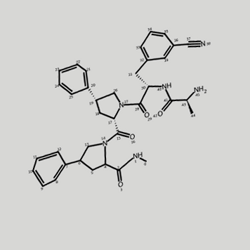 CNC(=O)C1CC(c2ccccc2)CN1C(=O)[C@@H]1C[C@H](c2ccccc2)CN1C(=O)[C@H](Cc1cccc(C#N)c1)NC(=O)[C@H](C)N